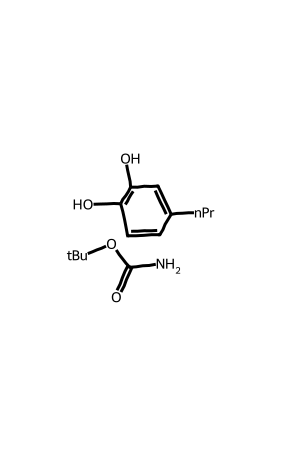 CC(C)(C)OC(N)=O.CCCc1ccc(O)c(O)c1